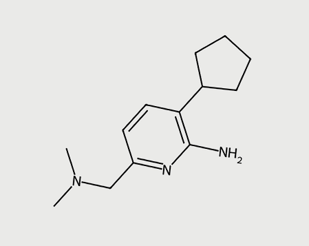 CN(C)Cc1ccc(C2CCCC2)c(N)n1